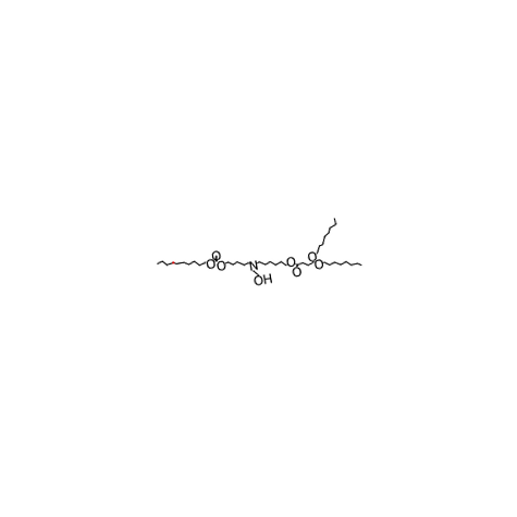 CCCCCCCCCCOC(=O)OCCCCCN(CCO)CCCCCCOC(=O)CCC(OCCCCCCCC)OCCCCCCCC